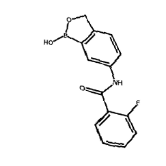 O=C(Nc1ccc2c(c1)B(O)OC2)c1ccccc1F